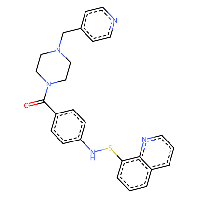 O=C(c1ccc(NSc2cccc3cccnc23)cc1)N1CCN(Cc2ccncc2)CC1